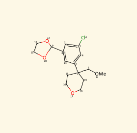 COCC1(c2cc(Cl)cc(C3OCCO3)c2)CCOCC1